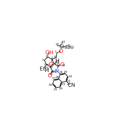 CCC12C[C@@H](O)C(CCO[Si](C)(C)C(C)(C)C)(O1)[C@H]1C(=O)N(c3ccc(C#N)c4ccccc34)C(=O)[C@H]12